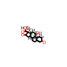 CS[C@]1(C(=O)O)C(=O)C[C@H]2[C@@H]3CCC4=CC(=O)C=C[C@]4(C)[C@@]3(F)[C@@H](O)C[C@@]21C